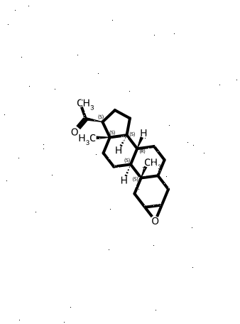 CC(=O)[C@H]1CC[C@H]2[C@@H]3CCC4CC5OC5C[C@]4(C)[C@H]3CC[C@]12C